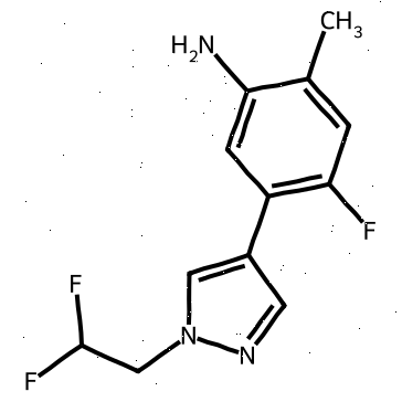 Cc1cc(F)c(-c2cnn(CC(F)F)c2)cc1N